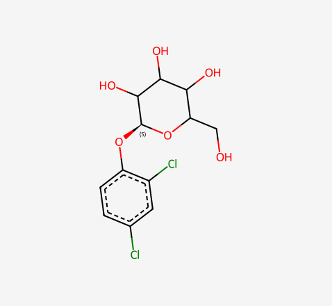 OCC1O[C@@H](Oc2ccc(Cl)cc2Cl)C(O)C(O)C1O